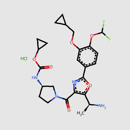 C[C@H](N)c1oc(-c2ccc(OC(F)F)c(OCC3CC3)c2)nc1C(=O)N1CC[C@@H](NC(=O)OC2CC2)C1.Cl